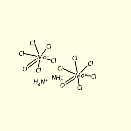 [NH4+].[NH4+].[O]=[Mo-]([Cl])([Cl])([Cl])([Cl])[Cl].[O]=[Mo-]([Cl])([Cl])([Cl])([Cl])[Cl]